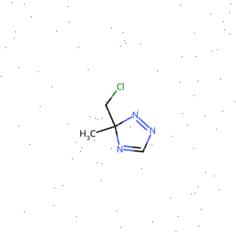 CC1(CCl)N=CN=N1